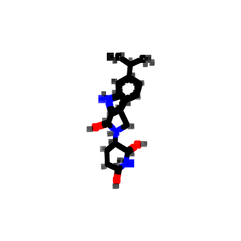 CC(C)c1ccc2c3c([nH]c2c1)C(=O)N(C1CCC(=O)NC1=O)C3